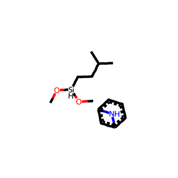 CO[SiH](CCC(C)C)OC.c1cc2cc(c1)N2